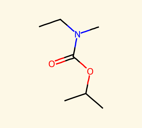 CCN(C)C(=O)OC(C)C